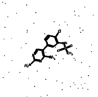 CS(=O)(=O)Nc1cc(-c2cnc(N)nc2N)ccc1Cl